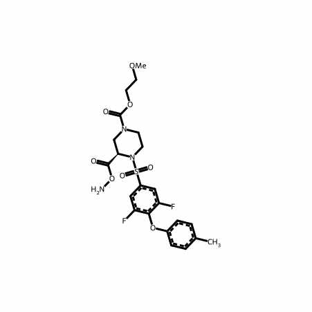 COCCOC(=O)N1CCN(S(=O)(=O)c2cc(F)c(Oc3ccc(C)cc3)c(F)c2)[C@@H](C(=O)ON)C1